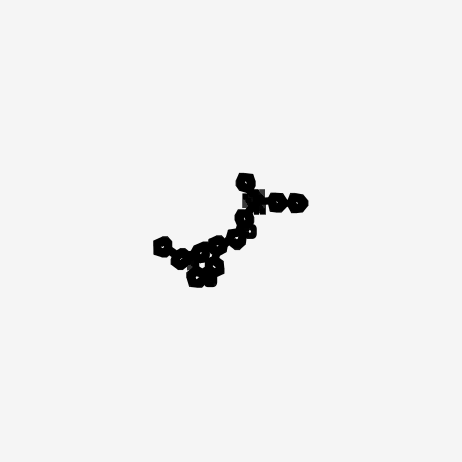 c1ccc(-c2ccc(-c3nc(-c4ccccc4)nc(-c4ccc5c(c4)oc4ccc(-c6cccc(-c7ccc8oc9cccc(-n%10c%11ccccc%11c%11cc(-c%12ccccc%12)ccc%11%10)c9c8c7)c6)cc45)n3)cc2)cc1